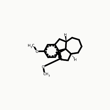 COc1ccc2c(c1)C[C@@H]1CCCC[C@H]3Cc4cc(OC)ccc4C213